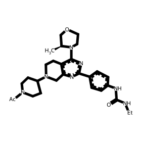 CCNC(=O)Nc1ccc(-c2nc3c(c(N4CCOC[C@@H]4C)n2)CCN(C2CCN(C(C)=O)CC2)C3)cc1